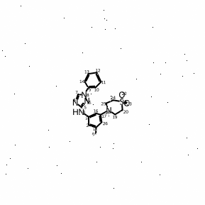 Cc1cc(Nc2ncn(-c3ccccc3)n2)cc(N2CCS(=O)(=O)CC2)c1